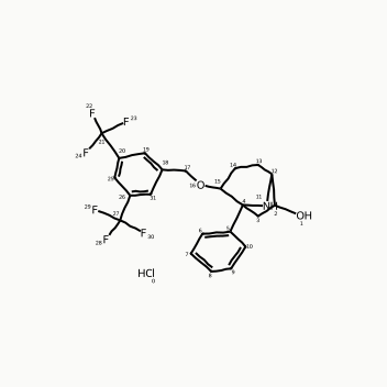 Cl.OC1CC2(c3ccccc3)NC1CCC2OCc1cc(C(F)(F)F)cc(C(F)(F)F)c1